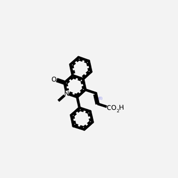 Cn1c(-c2ccccc2)c(/C=C/C(=O)O)c2ccccc2c1=O